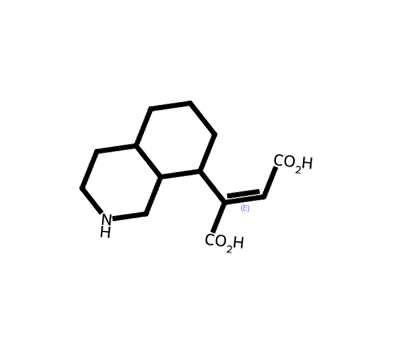 O=C(O)/C=C(/C(=O)O)C1CCCC2CCNCC21